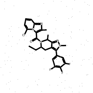 CCC1Cc2c(nn(C)c2-c2cc(F)c(F)c(F)c2)C(C)N1C(=O)c1c(C)nc2cccc(Cl)n12